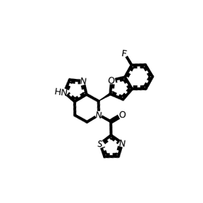 O=C(c1nccs1)N1CCc2[nH]cnc2[C@H]1c1cc2cccc(F)c2o1